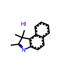 CC1=Nc2ccc3ccccc3c2C1(C)C.I